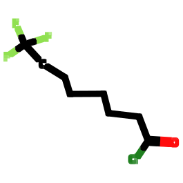 O=C(Cl)CCCCCCC(F)(F)F